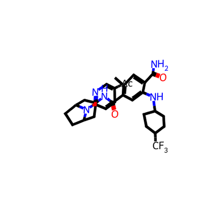 CC(=O)c1ccc(N2C3CCC2CC(NC(=O)c2cc(NC4CCC(C(F)(F)F)CC4)c(C(N)=O)cc2C)C3)nc1